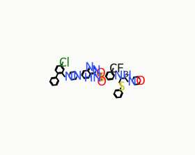 O=S(=O)(Nc1ncnc2cc(N3CCN(Cc4cc(Cl)ccc4-c4ccccc4)CC3)ccc12)c1ccc(NC(CCN2CCOCC2)CSc2ccccc2)c(C(F)(F)F)c1